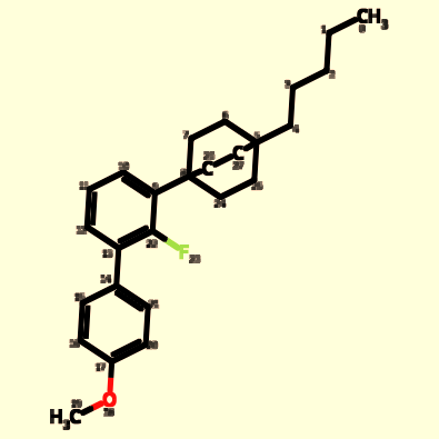 CCCCCC12CCC(c3cccc(-c4ccc(OC)cc4)c3F)(CC1)CC2